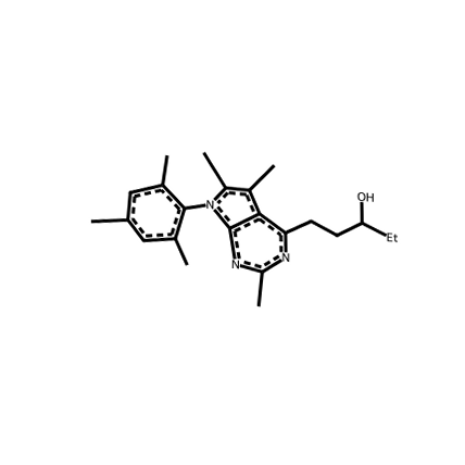 CCC(O)CCc1nc(C)nc2c1c(C)c(C)n2-c1c(C)cc(C)cc1C